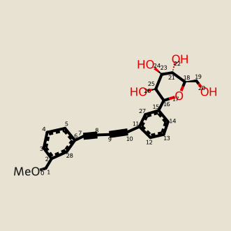 COCc1cccc(C#CC#Cc2cccc(C3O[C@H](CO)[C@@H](O)[C@H](O)[C@@H]3O)c2)c1